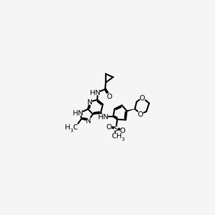 Cc1nc2c(Nc3ccc([C@H]4COCCO4)cc3S(C)(=O)=O)cc(NC(=O)C3CC3)nc2[nH]1